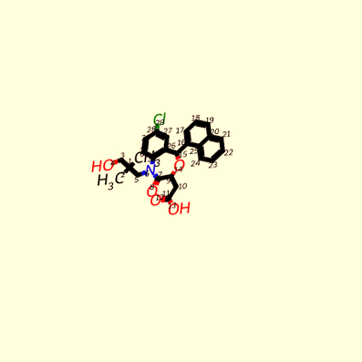 CC(C)(CO)CN1C(=O)C(CC(=O)O)OC(c2cccc3ccccc23)c2cc(Cl)ccc21